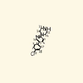 Clc1ccc(-c2ccc(N3CCNCC3)nc2)cc1